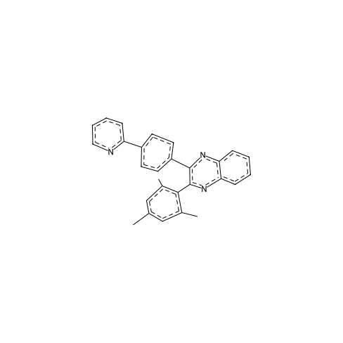 Cc1cc(C)c(-c2nc3ccccc3nc2-c2ccc(-c3ccccn3)cc2)c(C)c1